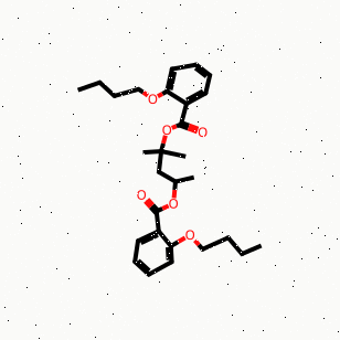 CCCCOc1ccccc1C(=O)OC(C)CC(C)(C)OC(=O)c1ccccc1OCCCC